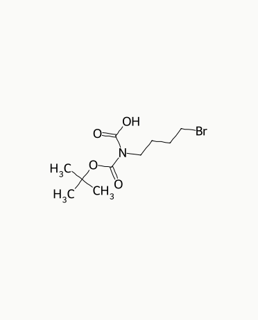 CC(C)(C)OC(=O)N(CCCCBr)C(=O)O